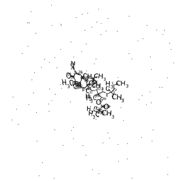 CCCC(C)(C)CC[C@@](C)(CCC(C)(C)[C@]1(C)CC[C@H]2C(C)(C)C(=O)C(C#N)=C[C@]2(C)[C@H]1CC(C)=O)COC(=O)C(C)(C)C